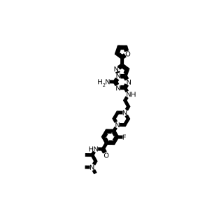 CC(CN(C)C)NC(=O)c1ccc(N2CCN(CCNc3nc(N)n4nc(-c5ccco5)cc4n3)CC2)c(F)c1